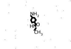 CCCNC(=O)C1CCC(CN)CC1